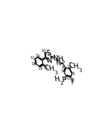 Cc1cc(F)c(P)cc1/C=N/Nc1nc(-c2ccccc2C)cs1